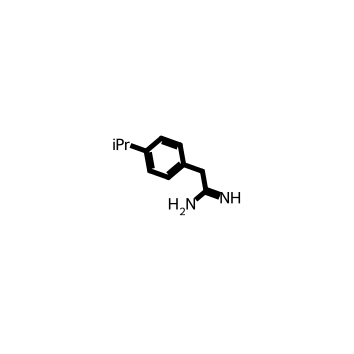 CC(C)c1ccc(CC(=N)N)cc1